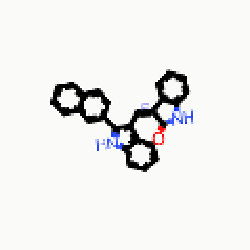 O=C1Nc2ccccc2/C1=C/c1c(-c2ccc3ccccc3c2)[nH]c2ccccc12